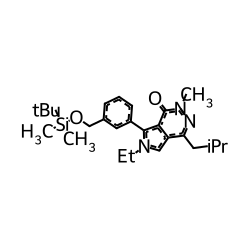 CCn1cc2c(CC(C)C)nn(C)c(=O)c2c1-c1cccc(CO[Si](C)(C)C(C)(C)C)c1